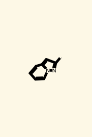 [CH2]c1cc2ccccn2n1